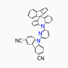 N#Cc1ccc2c(c1)c1cc(C#N)ccc1n2-c1cccc(N2c3ccccc3C3(c4ccccc4-c4ccccc43)c3ccccc32)n1